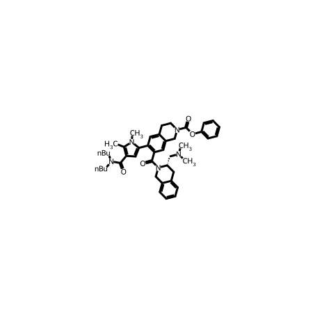 CCCCN(CCCC)C(=O)c1cc(-c2cc3c(cc2C(=O)N2Cc4ccccc4C[C@H]2CN(C)C)CN(C(=O)Oc2ccccc2)CC3)n(C)c1C